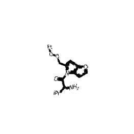 CCOOCc1cc2occc2n1C(=O)C(N)C(C)C